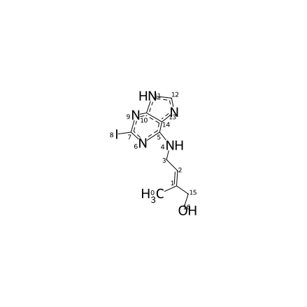 C/C(=C\CNc1nc(I)nc2[nH]cnc12)CO